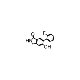 O=C1NCc2cc(O)c(-c3ccccc3F)cc21